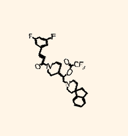 O=C(/C=C/c1cc(F)cc(F)c1)N1CCC(C(CN2CCC3(CCc4ccccc43)CC2)OC(=O)C(F)(F)F)CC1